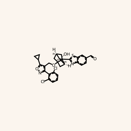 O=Cc1ccc2nc([C@]3(O)[C@@H]4CC5[C@H]3CC5(OCc3c(-c5c(Cl)cccc5Cl)noc3C3CC3)C4)sc2c1